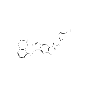 C[C@H](c1cccc2c1CNCC2)n1ncc2cc(S(=O)(=O)Nc3ncc(Cl)s3)c(F)cc21